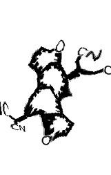 N#CC(C#N)=c1cc2c3ccoc3c(=C(C#N)C#N)cc2c2ccoc12